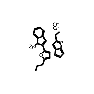 CCC1=PC2=CC=CC2=C1.CCCc1ccc(C2=Cc3ccccc3[CH]2[Zr+2])o1.[Cl-].[Cl-]